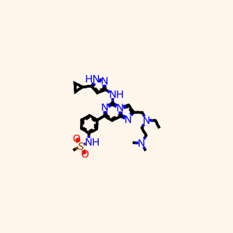 CCN(CCN(C)C)Cc1cn2c(Nc3cc(C4CC4)[nH]n3)nc(-c3cccc(NS(C)(=O)=O)c3)cc2n1